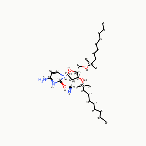 CCCCCCCC[Si](C)(C)OC[C@H]1O[C@@H](n2ccc(N)nc2=O)[C@@H](C#N)[C@@H]1O[Si](C)(C)CCCCCCCC